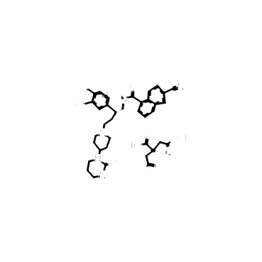 CN(C[C@@H](CCN1CCC(N2CCCNC2=O)CC1)c1ccc(Cl)c(Cl)c1)C(=O)c1cccc2cc(C#N)ccc12.O=C(O)CC(O)(CC(=O)O)C(=O)O